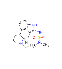 CCCN1CCCC2c3cccc4[nH]c(NS(=O)(=O)N(C)C)c(c34)C[C@H]21